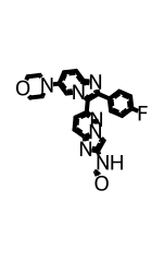 O=CNc1cn2nc(-c3c(-c4ccc(F)cc4)nc4ccc(N5CCOCC5)cn34)ccc2n1